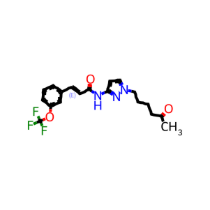 CC(=O)CCCCn1ccc(NC(=O)/C=C/c2cccc(OC(F)(F)F)c2)n1